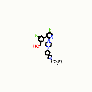 CCOC(=O)N1CC2(CC[C@@H](N3CCN(c4ncc(F)cc4-c4cc(F)cc(CO)c4)CC3)C2)C1